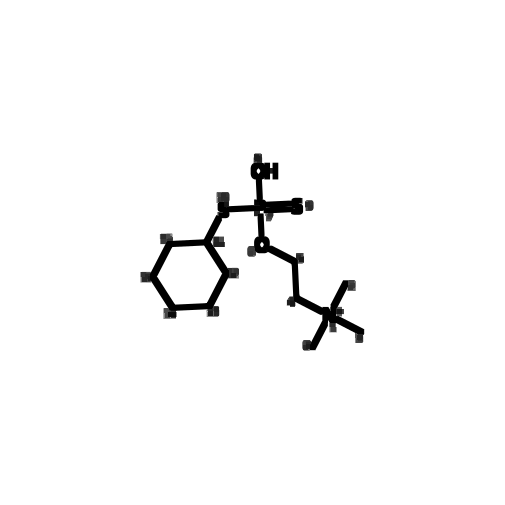 C[N+](C)(C)CCOP(O)(=S)SC1CCCCC1